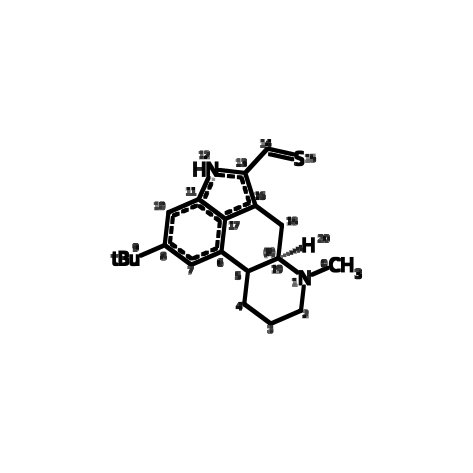 CN1CCCC2c3cc(C(C)(C)C)cc4[nH]c(C=S)c(c34)C[C@H]21